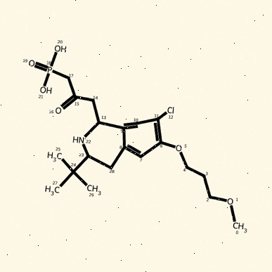 COCCCOc1cc2c(cc1Cl)C(CC(=O)CP(=O)(O)O)NC(C(C)(C)C)C2